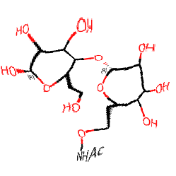 CC(=O)NOCC1O[C@H](OC2C(CO)O[C@@H](O)C(O)C2O)C(O)C(O)C1O